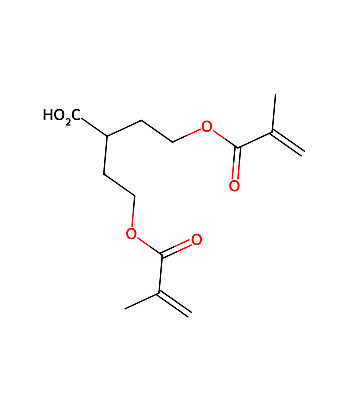 C=C(C)C(=O)OCCC(CCOC(=O)C(=C)C)C(=O)O